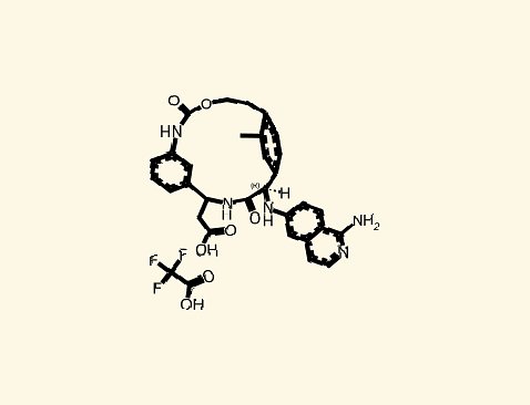 Cc1cc2ccc1CCOC(=O)Nc1cccc(c1)C(CC(=O)O)NC(=O)[C@@H]2Nc1ccc2c(N)nccc2c1.O=C(O)C(F)(F)F